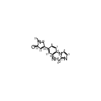 Cc1nccn1-c1ccc(C2=CC(=O)N(C)C2)cc1N